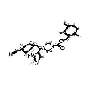 Cc1ccc(C)c(COC(=O)N2CCN(C(Cc3ccc(C#N)cc3)c3cnc[nH]3)CC2)c1